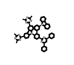 Cc1nc(C)nc(-c2ccc3c(c2)c2cc(-c4nc(C)nc(C)n4)ccc2n3-c2ccc(-c3nc(-c4ccccc4)cc(-c4ccccc4)n3)cc2-c2cccc(-n3c4ccccc4c4ccccc43)c2)n1